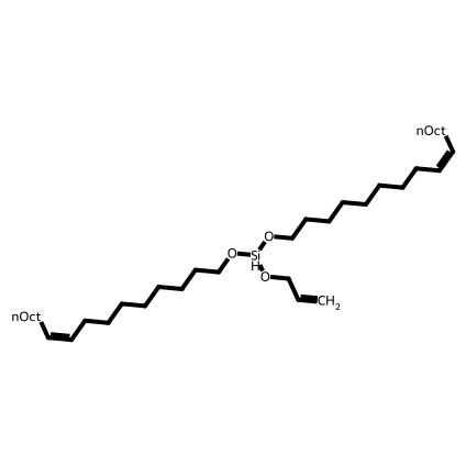 C=CCO[SiH](OCCCCCCCC/C=C\CCCCCCCC)OCCCCCCCC/C=C\CCCCCCCC